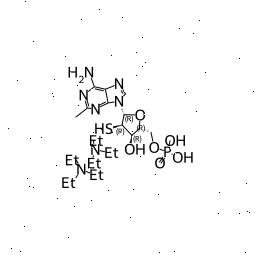 CCN(CC)CC.CCN(CC)CC.Cc1nc(N)c2ncn([C@@H]3O[C@H](COP(=O)(O)O)[C@@H](O)[C@H]3S)c2n1